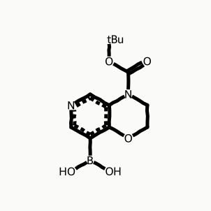 CC(C)(C)OC(=O)N1CCOc2c(B(O)O)cncc21